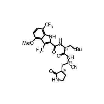 COc1ccc(C(F)(F)F)c2[nH]c(C(=O)N[C@@H](CC(C)(C)C)C(=O)N[C@H](C#N)C[C@@H]3CCNC3=O)c(C(F)(F)F)c12